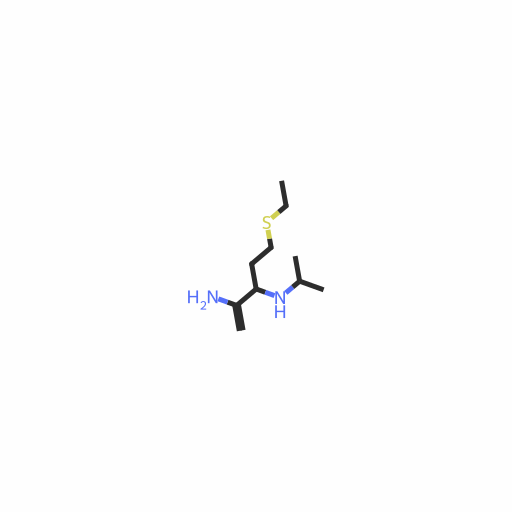 C=C(N)C(CCSCC)NC(C)C